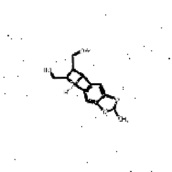 CC(=O)OCC1C(CO)[C@@H]2c3cc4c(cc3C12)OC(C)O4